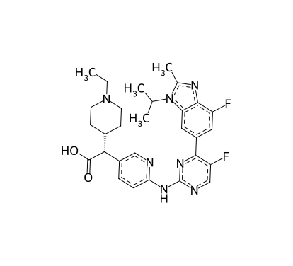 CCN1CCC([C@@H](C(=O)O)c2ccc(Nc3ncc(F)c(-c4cc(F)c5nc(C)n(C(C)C)c5c4)n3)nc2)CC1